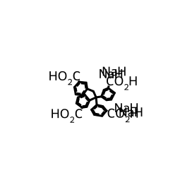 O=C(O)c1cccc(CC(c2cccc(C(=O)O)c2)(c2cccc(C(=O)O)c2)c2cccc(C(=O)O)c2)c1.[NaH].[NaH].[NaH].[NaH]